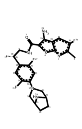 Cc1nc2sc(C(=O)NC[C@@H](C)c3cc(F)c(N4CC5CCC(C4)N5)cc3F)c(N)c2cc1F